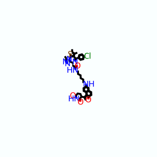 Cc1sc2c(c1C)C(c1ccc(Cl)cc1)=N[C@@H](CC(=O)NCCCCCCNc1ccc3c(ccc4occ(C5CCC(=O)NC5=O)c43)c1)c1nnc(C)n1-2